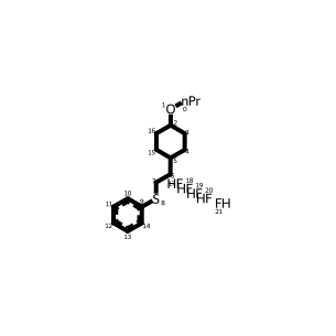 CCCOC1CCC(CCSc2ccccc2)CC1.F.F.F.F.F